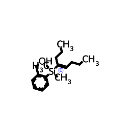 CCC/C=C(\CCC)[Si](C)(C)c1ccccc1CO